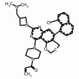 C=CC(=O)N1CCN(c2nc(N3CC(CN(C)C)C3)nc3cc(-c4cccc5cccc(Cl)c45)c4c(c23)OCCC4)CC1